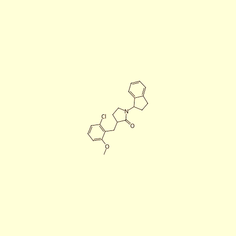 COc1cccc(Cl)c1CC1CCN(C2CCc3ccccc32)C1=O